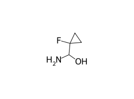 NC(O)C1(F)CC1